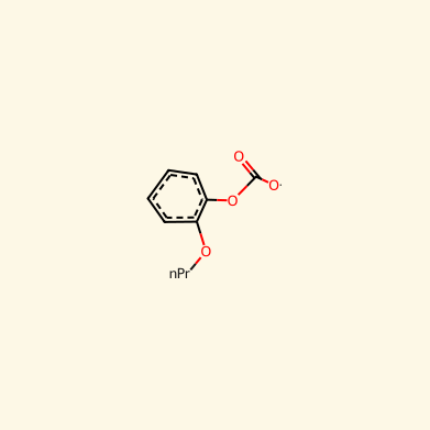 CCCOc1ccccc1OC([O])=O